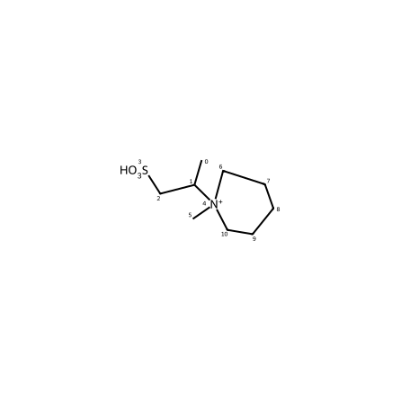 CC(CS(=O)(=O)O)[N+]1(C)CCCCC1